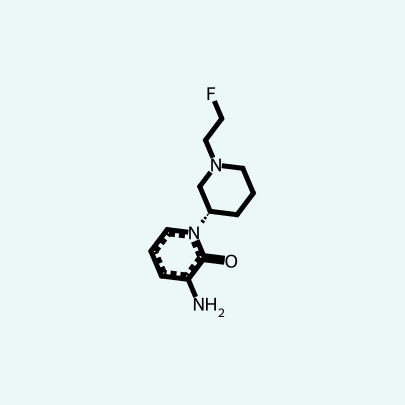 Nc1cccn([C@H]2CCCN(CCF)C2)c1=O